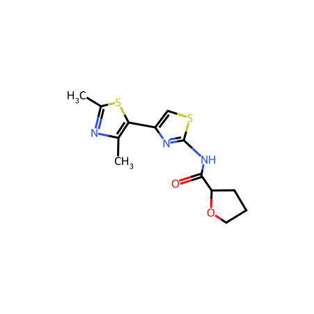 Cc1nc(C)c(-c2csc(NC(=O)C3CCCO3)n2)s1